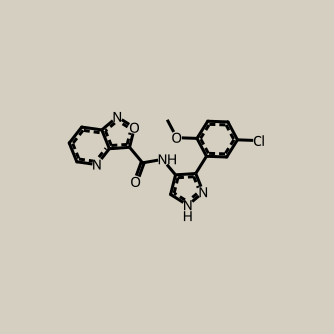 COc1ccc(Cl)cc1-c1n[nH]cc1NC(=O)c1onc2cccnc12